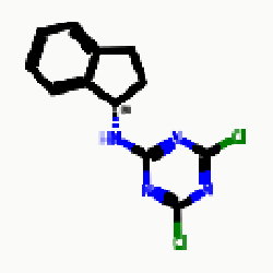 Clc1nc(Cl)nc(N[C@H]2CCc3ccccc32)n1